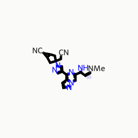 CN/C=C\C(=N)c1cn2nccc2c(-c2cnn(C3(CC#N)CC4C(C#N)C4C3)c2)n1